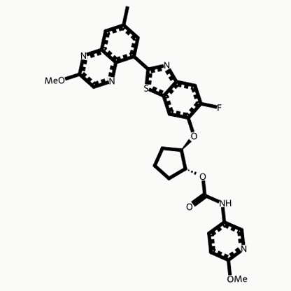 COc1ccc(NC(=O)O[C@@H]2CCC[C@H]2Oc2cc3sc(-c4cc(C)cc5nc(OC)cnc45)nc3cc2F)cn1